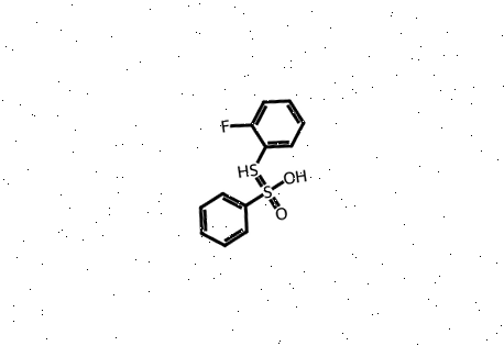 O=S(O)(=[SH]c1ccccc1F)c1ccccc1